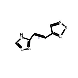 C(=C\c1nnc[nH]1)/c1cnsn1